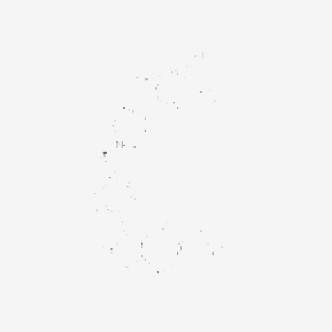 COc1ccc(CN2CC(C)N(c3ccc(C(=O)N4CCN(c5nc(C)c(C)cc5C)CC4)cc3)C2=O)cc1